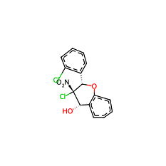 O=[N+]([O-])[C@]1(Cl)[C@@H](O)c2ccccc2O[C@H]1c1ccccc1Cl